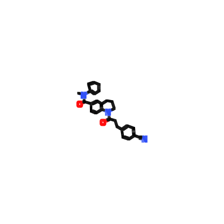 CN(C(=O)c1ccc2c(c1)CCCN2C(=O)CCc1ccc(C#N)cc1)c1ccccc1